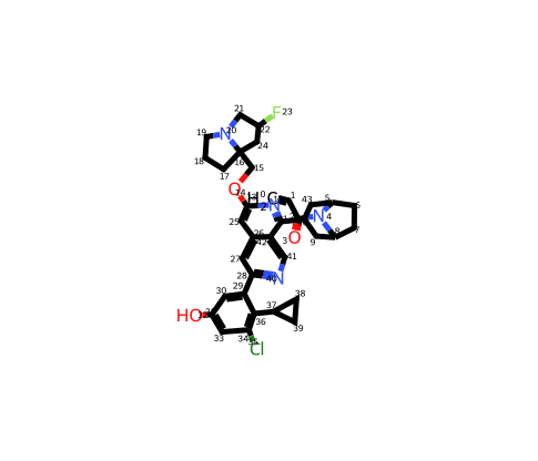 C=CC(=O)N1C2CCC1CC(c1nc(OCC34CCCN3CC(F)C4)cc3cc(-c4cc(O)cc(Cl)c4C4CC4)ncc13)C2